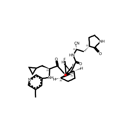 Cc1cncc(N[C@@H](CC2CC2)C(=O)N2[C@@H]3CC[C@H]([C@H]2C(=O)N[C@H](C#N)C[C@@H]2CCNC2=O)C(F)(F)C3)c1